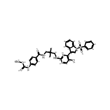 CC(C)(CNC(=O)c1ccc(NC(=O)OC(C)(C)C)cc1)CNc1ncc(Cl)c(-c2cn(S(=O)(=O)c3ccccc3)c3ccccc23)n1